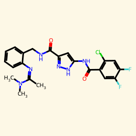 CC(=Nc1ccccc1CNC(=O)c1cc(NC(=O)c2cc(F)c(F)cc2Cl)[nH]n1)N(C)C